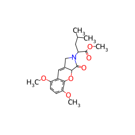 COC(=O)C(CC(C)C)N1CC2=Cc3c(OC)ccc(OC)c3OC2C1=O